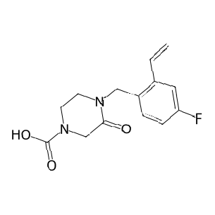 C=Cc1cc(F)ccc1CN1CCN(C(=O)O)CC1=O